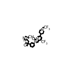 CN1CN=NC1CC1(c2cccc(-n3cc4c(C(F)(F)F)cc(C5CCN(CC(F)(F)F)CC5)cn4c3=O)c2)COC1